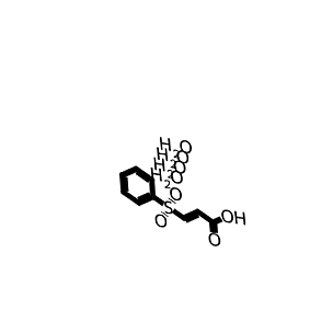 O.O.O.O.O=C(O)/C=C/S(=O)(=O)c1ccccc1